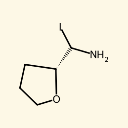 NC(I)[C@H]1CCCO1